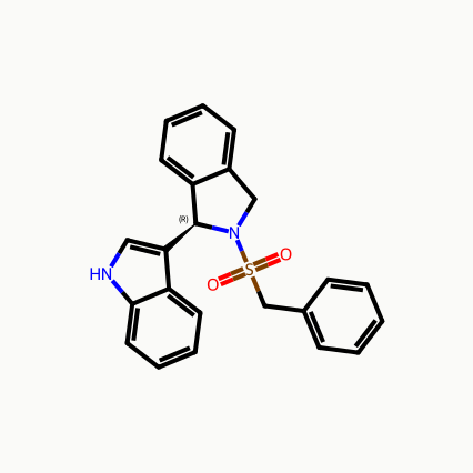 O=S(=O)(Cc1ccccc1)N1Cc2ccccc2[C@@H]1c1c[nH]c2ccccc12